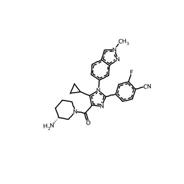 Cn1cc2ccc(-n3c(-c4ccc(C#N)c(F)c4)nc(C(=O)N4CCC[C@@H](N)C4)c3C3CC3)cc2n1